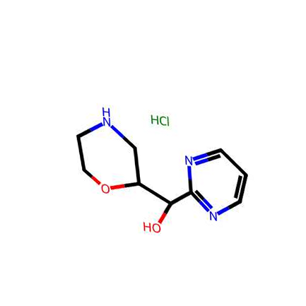 Cl.OC(c1ncccn1)C1CNCCO1